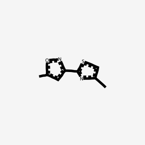 Cc1csc(-c2cc(C)on2)n1